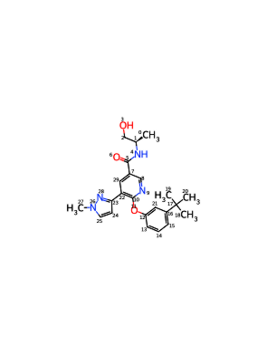 C[C@H](CO)NC(=O)c1cnc(Oc2cccc(C(C)(C)C)c2)c(-c2ccn(C)n2)c1